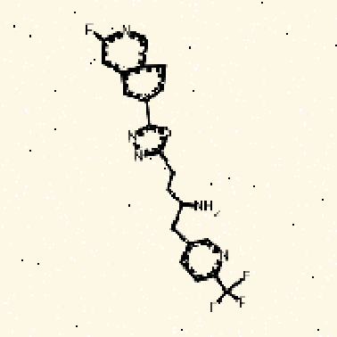 NC(CCc1nnc(-c2ccc3cnc(F)cc3c2)s1)Cc1ccc(C(F)(F)F)nc1